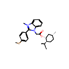 CSc1ccc(-c2n(CC(=O)O[C@@H]3C[C@H](C)CC[C@H]3C(C)C)c3ccccc3[n+]2C)cc1